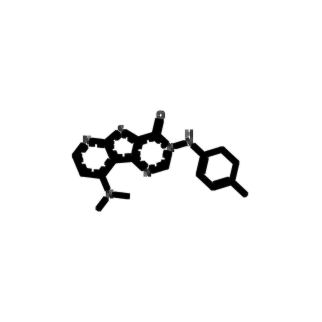 CC1=CC=C(Nn2cnc3c(sc4nccc(N(C)C)c43)c2=O)CC1